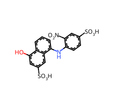 O=[N+]([O-])c1cc(S(=O)(=O)O)ccc1Nc1cccc2c(O)cc(S(=O)(=O)O)cc12